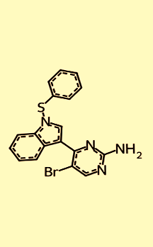 Nc1ncc(Br)c(-c2cn(Sc3ccccc3)c3ccccc23)n1